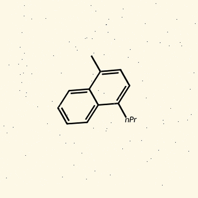 CCCc1ccc(C)c2ccccc12